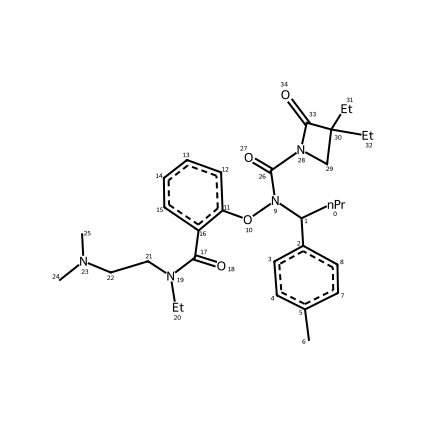 CCCC(c1ccc(C)cc1)N(Oc1ccccc1C(=O)N(CC)CCN(C)C)C(=O)N1CC(CC)(CC)C1=O